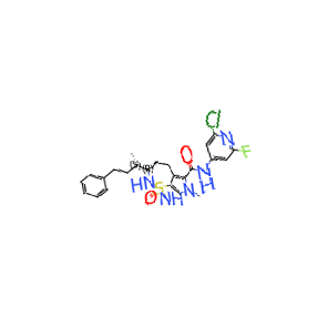 C[C@@H](CCc1ccccc1)[C@H]1CCc2c(cn(C)c2C(=O)Nc2cc(F)nc(Cl)c2)S(=N)(=O)N1